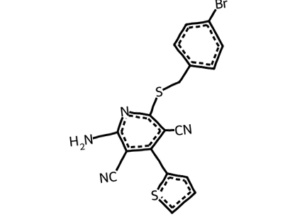 N#Cc1c(N)nc(SCc2ccc(Br)cc2)c(C#N)c1-c1cccs1